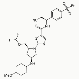 CCS(=O)(=O)c1ccc([C@H](CC#N)NC(=O)c2cnc(N3C[C@@H](NC4CCC(OC)CC4)C[C@H]3COC(F)F)s2)cc1